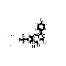 O=C(O)N1C(=O)OC(c2ccc(F)cc2)C1Cc1cnc(C(F)(F)F)s1